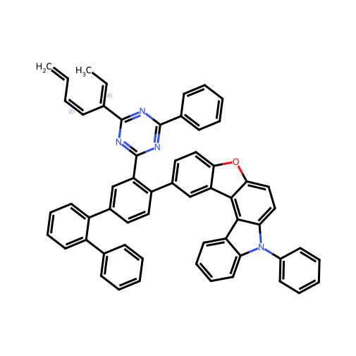 C=C/C=C\C(=C/C)c1nc(-c2ccccc2)nc(-c2cc(-c3ccccc3-c3ccccc3)ccc2-c2ccc3oc4ccc5c(c6ccccc6n5-c5ccccc5)c4c3c2)n1